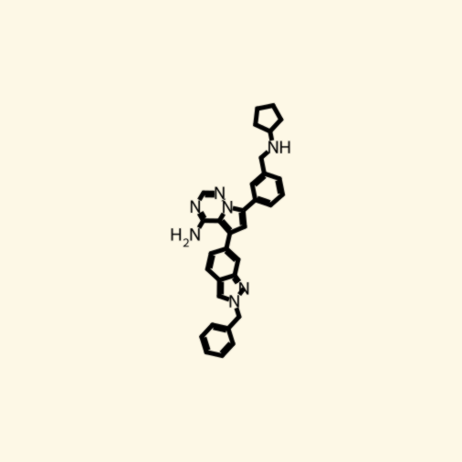 Nc1ncnn2c(-c3cccc(CNC4CCCC4)c3)cc(-c3ccc4cn(Cc5ccccc5)nc4c3)c12